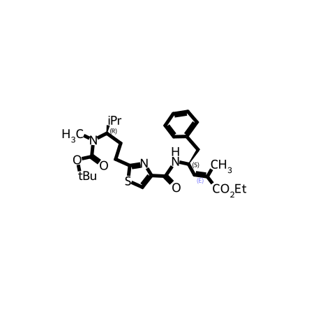 CCOC(=O)/C(C)=C/[C@H](Cc1ccccc1)NC(=O)c1csc(CC[C@H](C(C)C)N(C)C(=O)OC(C)(C)C)n1